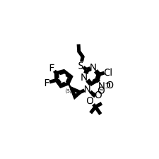 CCCSc1nc(Cl)c([N+](=O)[O-])c(N(C(=O)OC(C)(C)C)C2C[C@H]2c2ccc(F)c(F)c2)n1